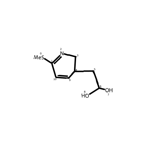 CSC1=NCC(CC(O)O)C=C1